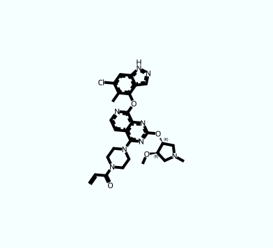 C=CC(=O)N1CCN(c2nc(O[C@@H]3CN(C)C[C@H]3OC)nc3c(Oc4c(C)c(Cl)cc5[nH]ncc45)nccc23)CC1